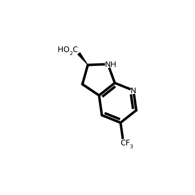 O=C(O)[C@@H]1Cc2cc(C(F)(F)F)cnc2N1